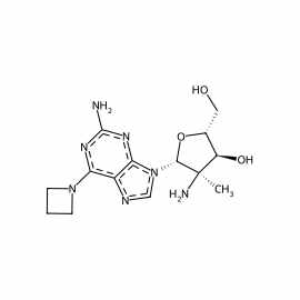 C[C@@]1(N)[C@H](O)[C@@H](CO)O[C@H]1n1cnc2c(N3CCC3)nc(N)nc21